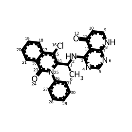 C[C@H](Nc1ncnc2[nH]ccc(=O)c12)c1c(Cl)c2ccccc2c(=O)n1-c1ccccc1